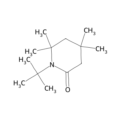 CC1(C)CC(=O)N(C(C)(C)C)C(C)(C)C1